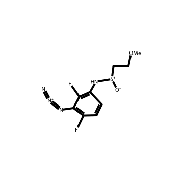 COCC[S+]([O-])Nc1ccc(F)c(N=[N+]=[N-])c1F